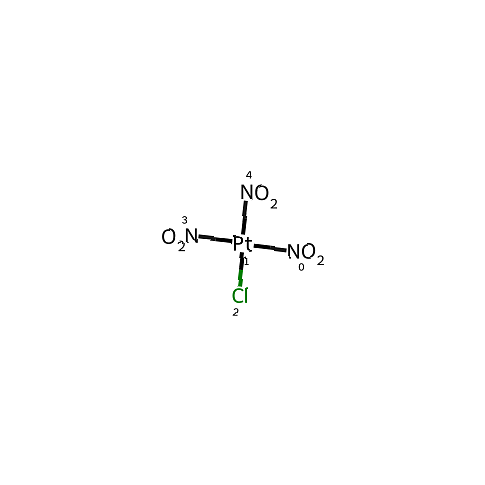 O=[N+]([O-])[Pt]([Cl])([N+](=O)[O-])[N+](=O)[O-]